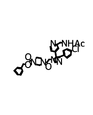 CC(=O)NCc1cc(-c2c(-c3ccc(Cl)cc3)ncn2CC(=O)N2CCN(C(=O)OCc3ccccc3)CC2)ccn1